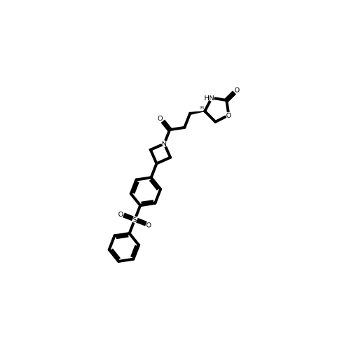 O=C1N[C@H](CCC(=O)N2CC(c3ccc(S(=O)(=O)c4ccccc4)cc3)C2)CO1